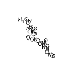 Cc1ccc(-c2nc(C)c(C(=O)N3CC[C@@H](C(=O)N4CCC(O)(Cn5cnc6c(ccn6-c6cccc(N7CCOCC7)c6)c5=O)CC4)[C@H](c4ccccc4)C3)s2)cn1